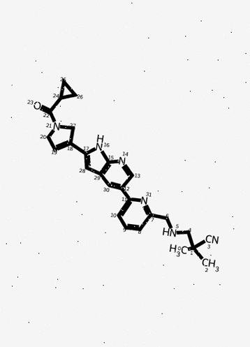 CC(C)(C#N)CNCc1cccc(-c2cnc3[nH]c(C4=CCN(C(=O)C5CC5)C4)cc3c2)n1